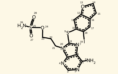 Nc1ncnc2c1nc(Sc1cc3occc3cc1I)n2CCCOS(N)(=O)=O